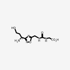 N[C@@H](CCO)c1noc(CNC(=O)NCC(=O)O)n1